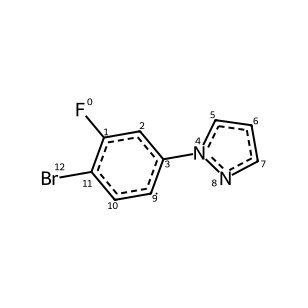 Fc1cc(-n2cccn2)[c]cc1Br